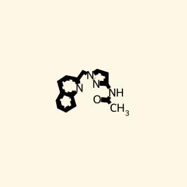 CC(=O)Nc1ccn(Cc2ccc3ccccc3n2)n1